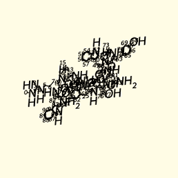 CNC(=N)NCCC[C@H](NC(=O)[C@H](CC(C)C)NC(=O)NNC(=O)[C@H](Cc1cccc(F)c1)NC(=O)[C@@H](NC(=O)[C@H](CC(N)=O)NC(=O)[C@@H](Cc1c[nH]c2ccccc12)NC(=O)[C@@H](Cc1ccc(O)cc1)NC(C)=O)[C@@H](C)O)C(=O)N[C@@H](Cc1c[nH]c2ccccc12)C(N)=O